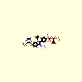 Cc1nccnc1Oc1ccc2c(N)c(-c3ccc(NC(=O)O[C@H](C)C4CC4)cc3)n(C3CC3)c2c1